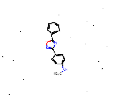 O=C(O)Nc1ccc(-c2noc(-c3ccccc3)n2)cc1